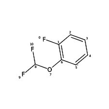 Fc1ccc[c]c1OC(F)F